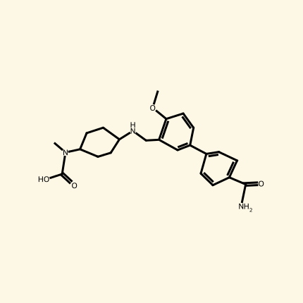 COc1ccc(-c2ccc(C(N)=O)cc2)cc1CNC1CCC(N(C)C(=O)O)CC1